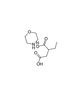 C1COCCN1.CCC(CC(=O)O)C(=O)O